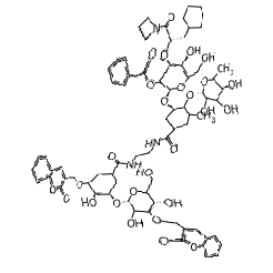 CC1CC(C(=O)NCCNC(=O)C2CC(OCc3cc4ccccc4oc3=O)C(O)[C@H](O[C@@H]3OC(CO)[C@H](O)C(OCc4cc5ccccc5oc4=O)C3O)C2)C[C@@H](O[C@@H]2OC(CO)[C@H](O)C(O[C@@H](CC3CCCCC3)C(=O)N3CCC3)C2OC(=O)c2ccccc2)C1O[C@@H]1OC(C)[C@@H](O)C(O)C1O